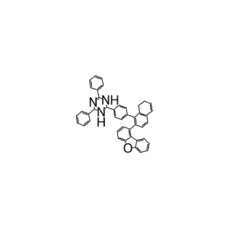 C1=Cc2ccc(-c3cccc4oc5ccccc5c34)c(-c3ccc(C4NC(c5ccccc5)=NC(c5ccccc5)N4)cc3)c2CC1